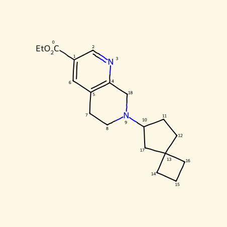 CCOC(=O)c1cnc2c(c1)CCN(C1CCC3(CCC3)C1)C2